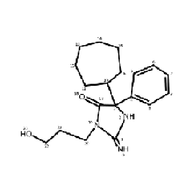 N=C1NC(c2ccccc2)(C2CCCCCC2)C(=O)N1CCCO